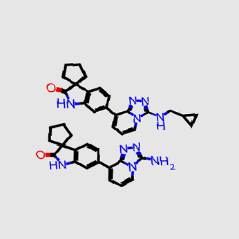 Nc1nnc2c(-c3ccc4c(c3)NC(=O)C43CCCC3)cccn12.O=C1Nc2cc(-c3cccn4c(NCC5CC5)nnc34)ccc2C12CCCC2